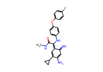 CNC(=O)/C(Nc1ccc(Oc2ccc(F)cc2)cc1)=C1\C=C(C2CC2)C(N)=CC1=N